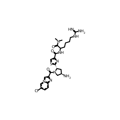 CN(C)C(=O)C(CCCCNC(=N)N)NC(=O)c1csc([C@@H]2C[C@@H](N)CN2C(=O)c2cn3cc(Cl)ccc3n2)n1